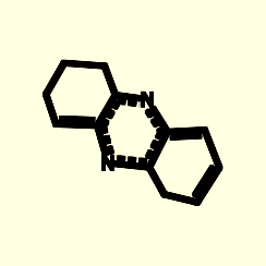 C1=CCc2nc3c(nc2=C1)CCCC=3